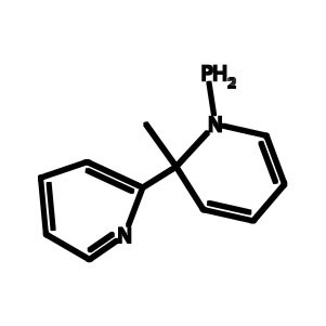 CC1(c2ccccn2)C=CC=CN1P